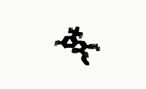 CCOC(=O)/C(N)=C\c1ccc(F)cc1C(C)(F)F